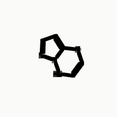 C1=CNn2nccc2[N]1